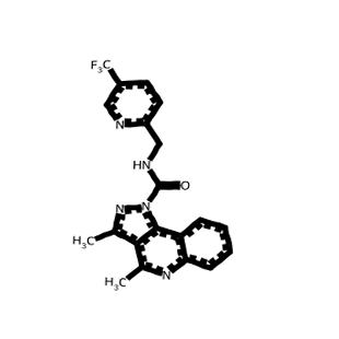 Cc1nc2ccccc2c2c1c(C)nn2C(=O)NCc1ccc(C(F)(F)F)cn1